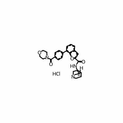 Cl.O=C(N[C@H]1CN2CCC1CC2)c1cc2cccc(-c3ccc(C(=O)N4CCOCC4)cc3)c2o1